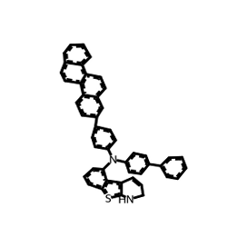 C1=Cc2c(sc3cccc(N(c4ccc(-c5ccccc5)cc4)c4ccc(-c5ccc6c(ccc7c8ccccc8ccc67)c5)cc4)c23)NC1